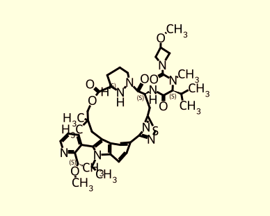 CCn1c(-c2cccnc2[C@H](C)OC)c2c3cc(ccc31)-c1nsc(n1)C[C@H](NC(=O)[C@H](C(C)C)N(C)C(=O)N1CC(OC)C1)C(=O)N1CCC[C@H](N1)C(=O)OCC(C)(C)C2